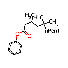 CCCCCC(C)(C)CC(C)CC(=O)Oc1ccccc1